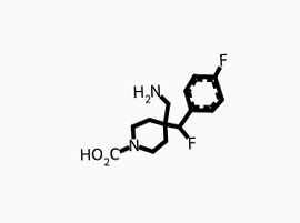 NCC1(C(F)c2ccc(F)cc2)CCN(C(=O)O)CC1